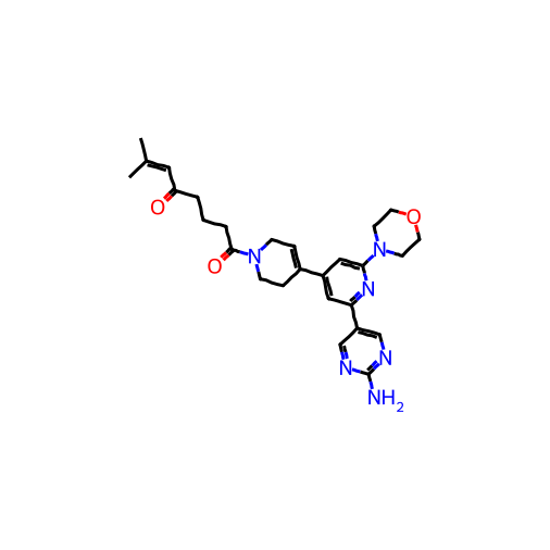 CC(C)=CC(=O)CCCC(=O)N1CC=C(c2cc(-c3cnc(N)nc3)nc(N3CCOCC3)c2)CC1